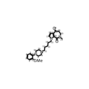 COc1ccccc1N1CCN(CCCCCn2ccc3c2C(=O)N(C)CCC3=O)CC1